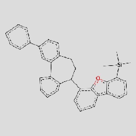 C[Si](C)(C)c1cccc2c1oc1c(C3CCc4ccc(-c5ccccc5)cc4-c4ccccc43)cccc12